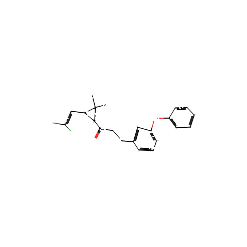 CC1(C)C(C=C(Cl)Cl)C1C(=O)CCc1cccc(Oc2ccccc2)c1